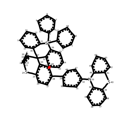 c1ccc([Si]2(c3ccccc3)c3ccccc3C3(c4ccccc4Sc4ccc(-c5ccc(N6c7ccccc7Sc7ccccc76)cc5)cc43)c3ccccc32)cc1